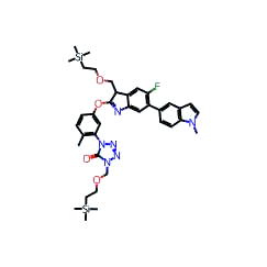 Cc1ccc(OC2=Nc3cc(-c4ccc5c(ccn5C)c4)c(F)cc3C2COCC[Si](C)(C)C)cc1-n1nnn(COCC[Si](C)(C)C)c1=O